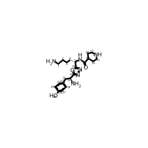 NCCCC[C@H](NC(=O)C1CCNCC1)c1nnc([C@@H](N)Cc2ccc(O)cc2)o1